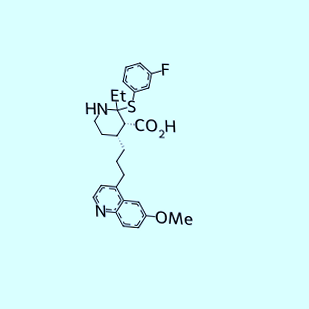 CCC1(Sc2cccc(F)c2)NCC[C@@H](CCCc2ccnc3ccc(OC)cc23)[C@H]1C(=O)O